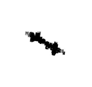 COC(=O)N[C@H](C(=O)N1C2C[C@@H]2C[C@H]1c1nc2c(ccc3cc(-c4ccc(-c5nc([C@@H]6C[C@H]7C[C@H]7N6C(=O)[C@@H](NC(=O)OC)C6CCOCC6)[nH]c5Cl)cc4)ccc32)[nH]1)C1CCOCC1